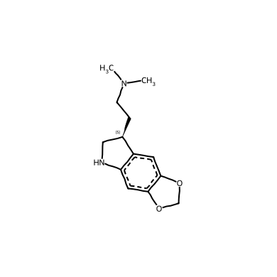 CN(C)CC[C@@H]1CNc2cc3c(cc21)OCO3